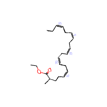 CC/C=C\C/C=C\C/C=C\C/C=C\C/C=C\CCC(C)C(=O)OCC